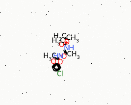 CC(CNC(=O)OC(C)(C)C)ONC(=O)[C@H](C)Oc1ccc(Cl)cc1